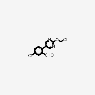 O=Cc1cc(Cl)ccc1-c1cnc(OCCl)nc1